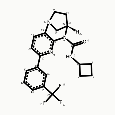 O=C(NC1CCC1)N1c2nc(-c3cccc(C(F)(F)F)c3)ccc2N2CC[C@H]1C2